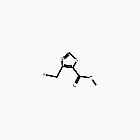 COC(=O)c1[nH]cnc1CF